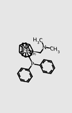 CN(C)C[C@@]12[CH]3[CH]4[CH]5[C]1(P(c1ccccc1)c1ccccc1)[Fe]45321678[CH]2[CH]1[CH]6[CH]7[CH]28